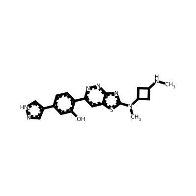 CNC1CC(N(C)c2nc3nnc(-c4ccc(-c5cn[nH]c5)cc4O)cc3s2)C1